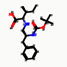 CC[C@H](C)[C@H](NC[C@H](Cc1ccccc1)NC(=O)OC(C)(C)C)C(=O)O